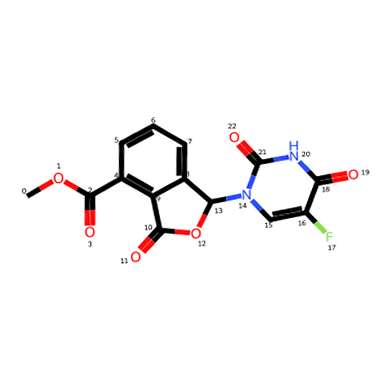 COC(=O)c1cccc2c1C(=O)OC2n1cc(F)c(=O)[nH]c1=O